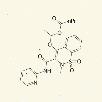 CCCC(=O)OC(C)OC1=C(C(=O)Nc2ccccn2)N(C)S(=O)(=O)c2ccccc21